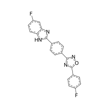 Fc1ccc(-c2nc(-c3ccc(-c4nc5cc(F)ccc5[nH]4)cc3)no2)cc1